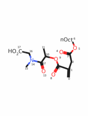 C=C(CC(=O)OCCCCCCCC)C(=O)OC(C)C(=O)N(C)CC(=O)O